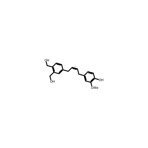 COc1cc(C/C=C\Cc2ccc(CO)c(CO)c2)ccc1O